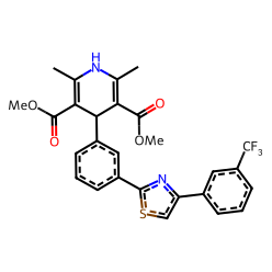 COC(=O)C1=C(C)NC(C)=C(C(=O)OC)C1c1cccc(-c2nc(-c3cccc(C(F)(F)F)c3)cs2)c1